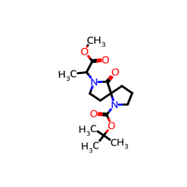 COC(=O)C(C)N1CCC2(CCCN2C(=O)OC(C)(C)C)C1=O